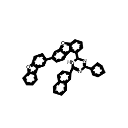 c1ccc(C2=NC(c3cccc4oc5cc(-c6ccc7oc8ccccc8c7c6)ccc5c34)NC(c3ccc4ccccc4c3)=N2)cc1